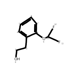 OCCc1ccccc1OC(F)F